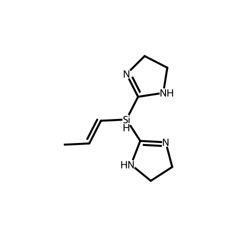 CC=C[SiH](C1=NCCN1)C1=NCCN1